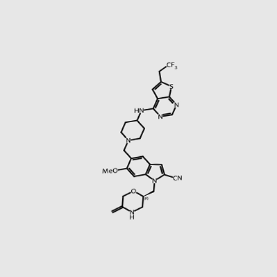 C=C1CO[C@@H](Cn2c(C#N)cc3cc(CN4CCC(Nc5ncnc6sc(CC(F)(F)F)cc56)CC4)c(OC)cc32)CN1